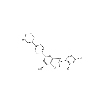 C[C@@H](Nc1nc(C2=CCN(C3CCCNC3)CC2)ncc1Cl)c1ccc(Cl)cc1Cl.Cl.Cl